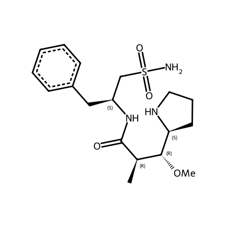 CO[C@@H]([C@@H]1CCCN1)[C@@H](C)C(=O)N[C@@H](Cc1ccccc1)CS(N)(=O)=O